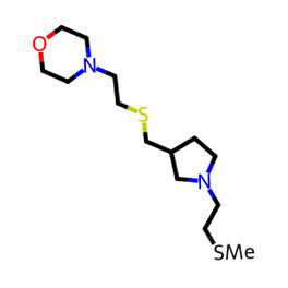 CSCCN1CCC(CSCCN2CCOCC2)C1